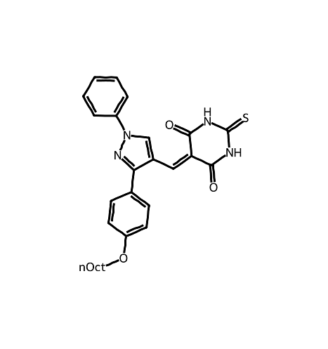 CCCCCCCCOc1ccc(-c2nn(-c3ccccc3)cc2C=C2C(=O)NC(=S)NC2=O)cc1